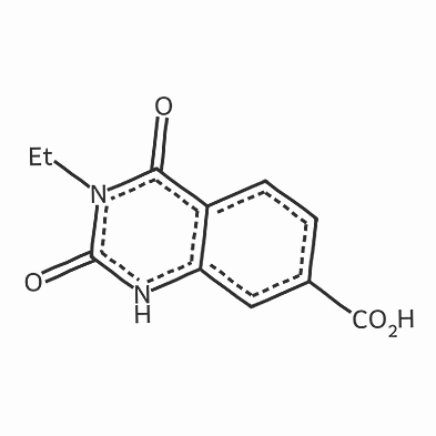 CCn1c(=O)[nH]c2cc(C(=O)O)ccc2c1=O